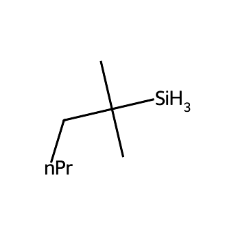 CCCCC(C)(C)[SiH3]